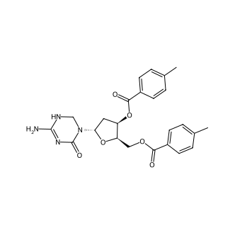 Cc1ccc(C(=O)OC[C@H]2O[C@H](N3CNC(N)=NC3=O)C[C@H]2OC(=O)c2ccc(C)cc2)cc1